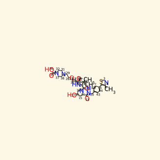 Cc1ncsc1-c1ccc(CNC(=O)[C@@H]2C[C@@H](O)CN2C(=O)C(NC(=O)COCCN2CCN(C(=O)O)CC2)C(C)(C)C)cc1